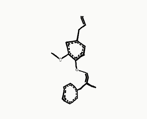 C=CCc1ccc(OC=C(C)c2ccccc2)c(OC)c1